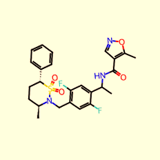 Cc1oncc1C(=O)NC(C)c1cc(F)c(CN2[C@@H](C)CC[C@H](c3ccccc3)S2(=O)=O)cc1F